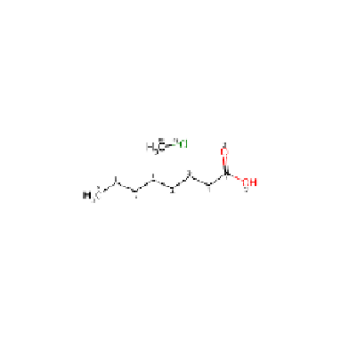 CCCCCCCC(=O)O.CCl